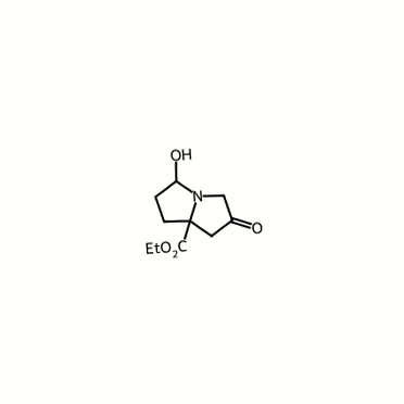 CCOC(=O)C12CCC(O)N1CC(=O)C2